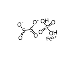 O=S(=O)(O)O.O=S([O-])S(=O)[O-].[Fe+2]